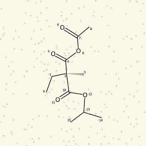 CC[C@@](C)(C(=O)OC(C)=O)C(=O)OC(C)C